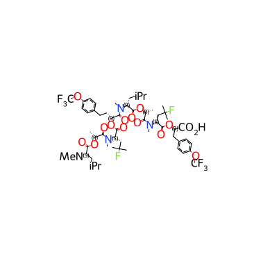 CN[C@@H](CC(C)C)C(=O)O[C@H](C)C(=O)N(C)[C@@H](CC(C)(C)F)C(=O)O[C@H](CCc1ccc(OC(F)(F)F)cc1)C(=O)N(C)[C@H](CC(C)C)C(=O)O[C@H](C)C(=O)N(C)[C@@H](CC(C)(C)F)C(=O)O[C@H](Cc1ccc(OC(F)(F)F)cc1)C(=O)O